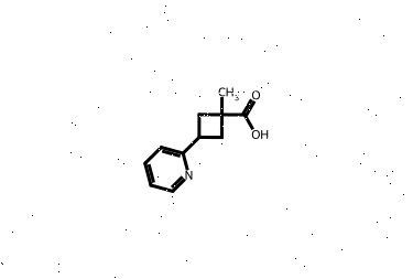 CC1(C(=O)O)CC(c2ccccn2)C1